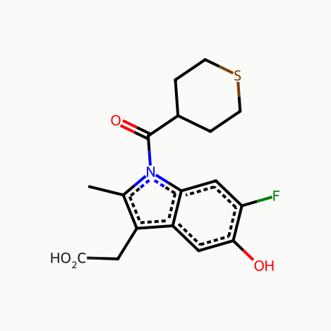 Cc1c(CC(=O)O)c2cc(O)c(F)cc2n1C(=O)C1CCSCC1